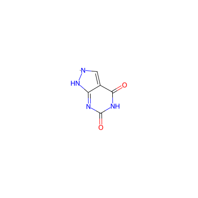 O=C1N=C2N[N]C=C2C(=O)N1